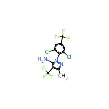 Cc1nn(-c2c(Cl)cc(C(F)(F)F)cc2Cl)c(N)c1C(F)(F)F